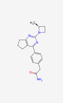 C[C@H]1CCN1c1nc2c(c(-c3ccc(CC(N)=O)cc3)n1)CCC2